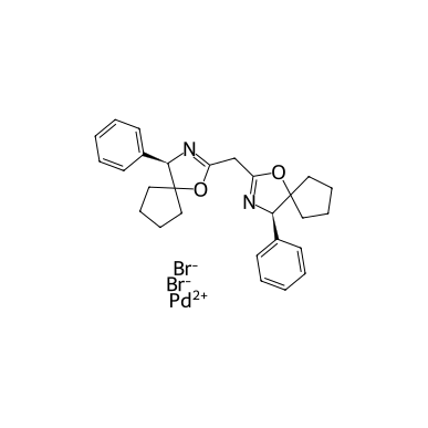 [Br-].[Br-].[Pd+2].c1ccc([C@H]2N=C(CC3=N[C@H](c4ccccc4)C4(CCCC4)O3)OC23CCCC3)cc1